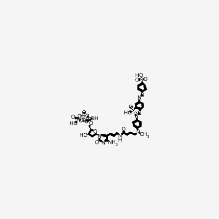 CN(CCCC(=O)NC/C=C/c1cn([C@H]2C[C@H](O)[C@@H](COP(=O)(O)OP(=O)(O)OP(=O)(O)O)O2)c(=O)nc1N)c1ccc(N=Nc2ccc(N=Nc3ccc(S(=O)(=O)O)cc3)cc2S(=O)(=O)O)cc1